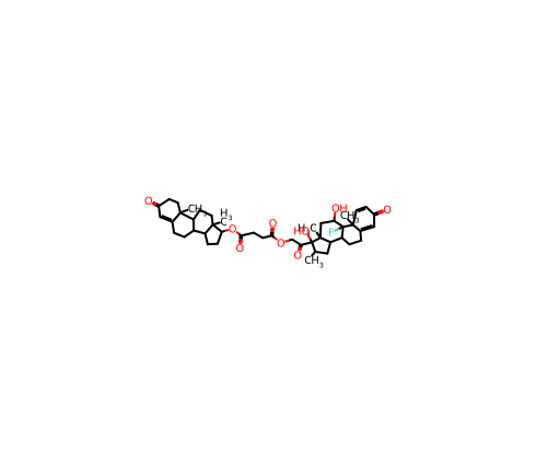 CC1CC2C3CCC4=CC(=O)C=CC4(C)C3(F)C(O)CC2(C)C1(O)C(=O)COC(=O)CCC(=O)OC1CCC2C3CCC4=CC(=O)CCC4(C)C3CCC12C